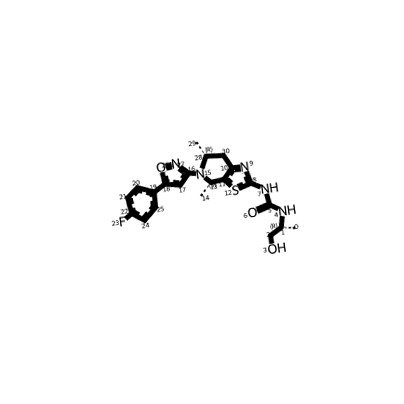 C[C@H](CO)NC(=O)Nc1nc2c(s1)[C@H](C)N(c1cc(-c3ccc(F)cc3)on1)[C@H](C)C2